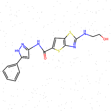 O=C(Nc1cc(-c2ccccc2)[nH]n1)c1cc2sc(NCCO)nc2s1